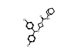 O=C(NC1CC2CCC1C2)N1CC(OC(c2ccc(Cl)cc2)c2ccc(Cl)cc2)C1